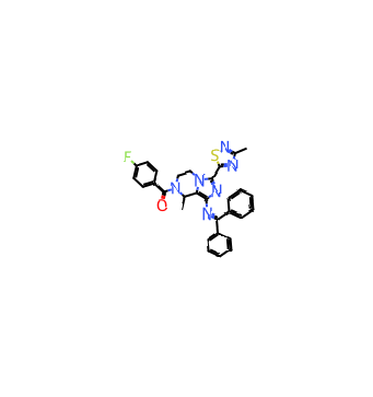 Cc1nsc(-c2nc(N=C(c3ccccc3)c3ccccc3)c3n2CCN(C(=O)c2ccc(F)cc2)C3C)n1